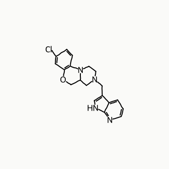 Clc1ccc2c(c1)OCC1CN(Cc3c[nH]c4ncccc34)CCN21